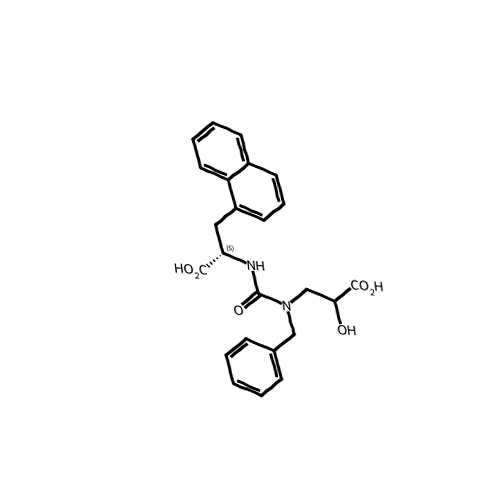 O=C(O)C(O)CN(Cc1ccccc1)C(=O)N[C@@H](Cc1cccc2ccccc12)C(=O)O